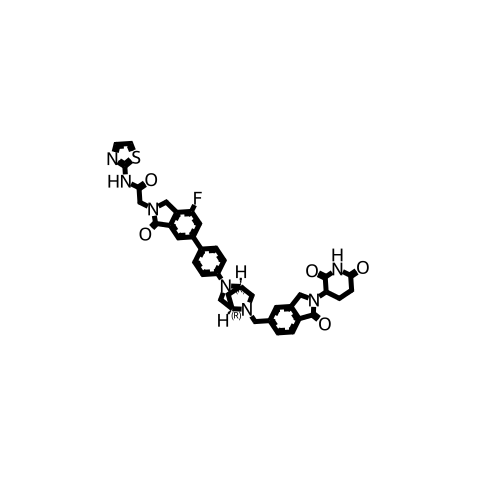 O=C1CCC(N2Cc3cc(CN4C[C@H]5C[C@@H]4CN5c4ccc(-c5cc(F)c6c(c5)C(=O)N(CC(=O)Nc5nccs5)C6)cc4)ccc3C2=O)C(=O)N1